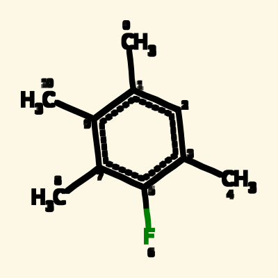 Cc1cc(C)c(F)c(C)c1C